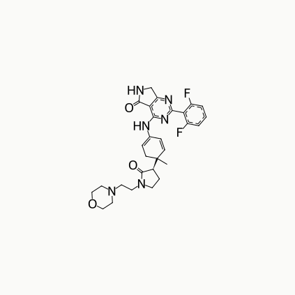 CC1([C@H]2CCN(CCN3CCOCC3)C2=O)C=CC(Nc2nc(-c3c(F)cccc3F)nc3c2C(=O)NC3)=CC1